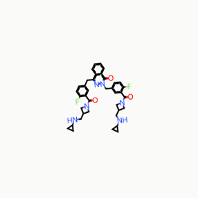 O=C(c1cc(Cc2nn(Cc3ccc(F)c(C(=O)N4CC(CNC5CC5)C4)c3)c(=O)c3ccccc23)ccc1F)N1CC(CNC2CC2)C1